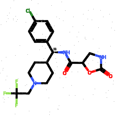 O=C1NCC(C(=O)N[C@H](c2ccc(Cl)cc2)C2CCN(CC(F)(F)F)CC2)O1